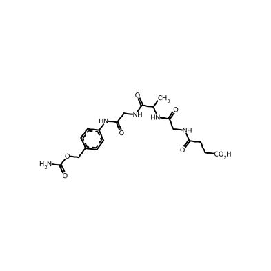 CC(NC(=O)CNC(=O)CCC(=O)O)C(=O)NCC(=O)Nc1ccc(COC(N)=O)cc1